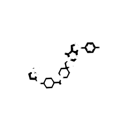 Cn1ccc(OC2CCC(C(=O)N3CCC(O)(Cn4cnc5c(cnn5-c5ccc(F)cc5)c4=O)CC3)CC2)n1